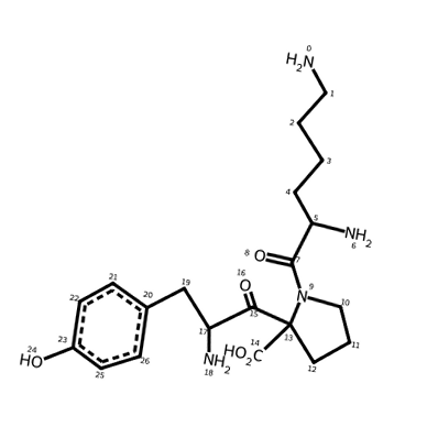 NCCCCC(N)C(=O)N1CCCC1(C(=O)O)C(=O)C(N)Cc1ccc(O)cc1